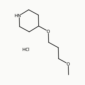 COCCCOC1CCNCC1.Cl